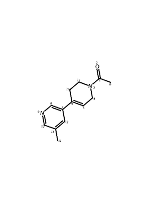 CC(=O)N1CC=C(c2cncc(C)c2)CC1